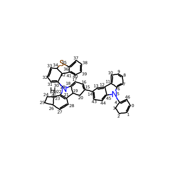 C1=CCCC(n2c3ccccc3c3cc(C4=CC=C5C(C4)C4=C([C@@H]6CCC6C=C4)N5C4=CC=CC5Sc6ccccc6C45)ccc32)=C1